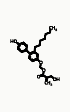 C=C(CO)C(=O)OCOc1ccc(-c2ccc(O)cc2)c(CCCCCCC)c1